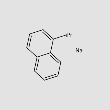 CC(C)c1cccc2ccccc12.[Na]